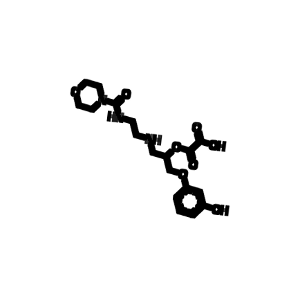 O=C(O)C(=O)OC(CNCCNC(=O)N1CCOCC1)COc1cccc(O)c1